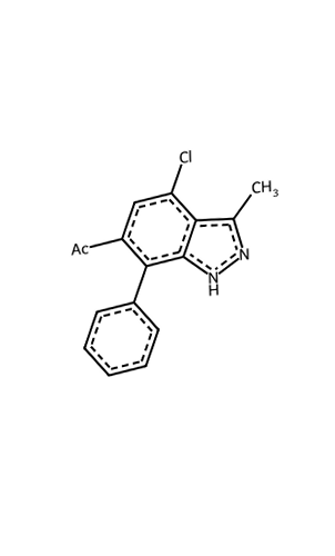 CC(=O)c1cc(Cl)c2c(C)n[nH]c2c1-c1ccccc1